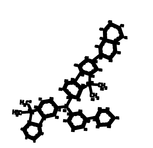 C[Si]1(C)c2ccccc2-c2cc(N(c3cccc(-c4ccccc4)c3)c3ccc4c(c3)[Si](C)(C)c3cc(-c5ccc6ccccc6c5)ccc3-4)ccc21